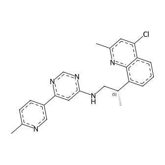 Cc1ccc(-c2cc(NC[C@@H](C)c3cccc4c(Cl)cc(C)nc34)ncn2)cn1